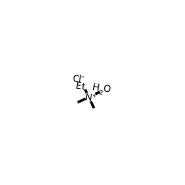 CC[N+](C)(C)C.O.[Cl-]